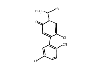 CC(C)(C)C(C(=O)O)n1cc(Cl)c(-c2cc(Cl)ccc2C#N)cc1=O